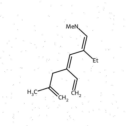 C=C/C(=C\C(=C/NC)CC)CC(=C)C